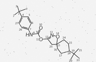 CC(C)(C)c1ccc(NC(=O)OC2=NOC3(CCC(C(C)(C)C)CC3)C2)cc1